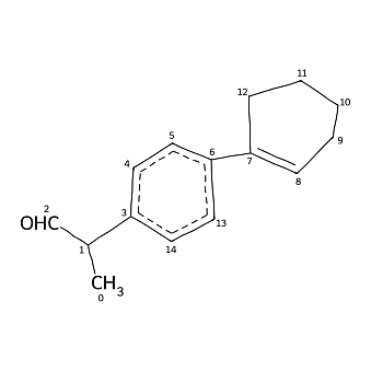 CC(C=O)c1ccc(C2=CCCCC2)cc1